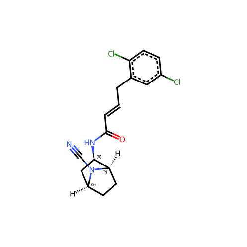 N#CN1[C@H]2CC[C@@H]1[C@H](NC(=O)C=CCc1cc(Cl)ccc1Cl)C2